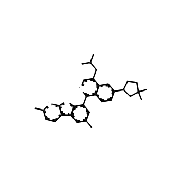 Cc1cc(-c2ncc(CC(C)C)c3cc(C4CCC(C)(C)C4)ccc23)c2oc3nc(C)ccc3c2c1